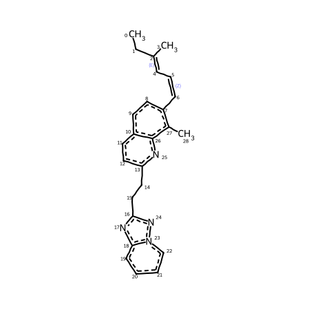 CC/C(C)=C/C=C\c1ccc2ccc(CCc3nc4ccccn4n3)nc2c1C